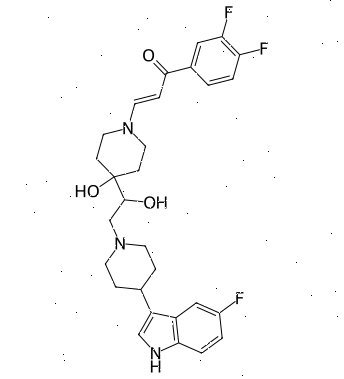 O=C(C=CN1CCC(O)(C(O)CN2CCC(c3c[nH]c4ccc(F)cc34)CC2)CC1)c1ccc(F)c(F)c1